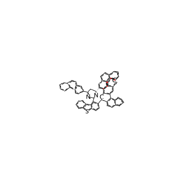 c1ccc2cc3c(cc2c1)CC(c1ccc2sc4ccccc4c2c1C1=N[C@@H](c2ccc4c(ccc5ccccc54)c2)CC(c2ccc4c(ccc5ccccc54)c2)=N1)c1ccc2ccccc2c1-3